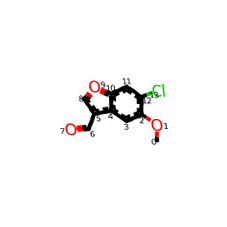 COc1cc2c(C=O)coc2cc1Cl